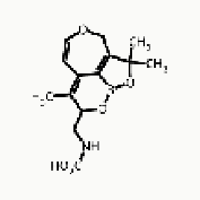 CC1=C2C=COCC3=C2B(OC1CNC(=O)O)OC3(C)C